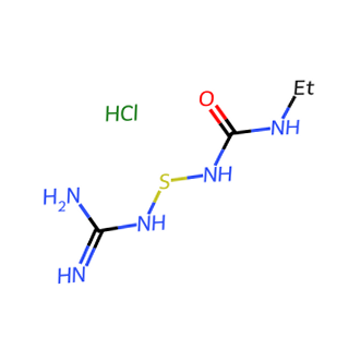 CCNC(=O)NSNC(=N)N.Cl